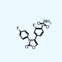 NS(=O)(=O)c1ccc(-c2coc(=O)n2-c2ccc(F)cc2)cc1F